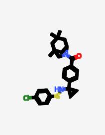 CC1(C)CC2CC(C)(CN2C(=O)c2ccc(C3(NSc4ccc(Cl)cc4)CC3)cc2)C1